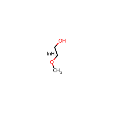 COCCO.[InH3]